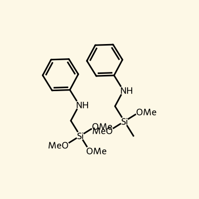 CO[Si](C)(CNc1ccccc1)OC.CO[Si](CNc1ccccc1)(OC)OC